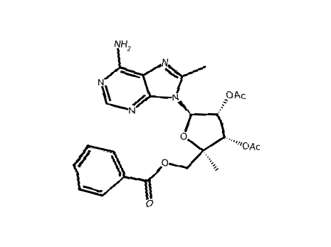 CC(=O)O[C@H]1[C@H](n2c(C)nc3c(N)ncnc32)O[C@](C)(COC(=O)c2ccccc2)[C@H]1OC(C)=O